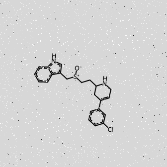 [O-][S+](CCC1CC(c2cccc(Cl)c2)=CCN1)Cc1c[nH]c2ccccc12